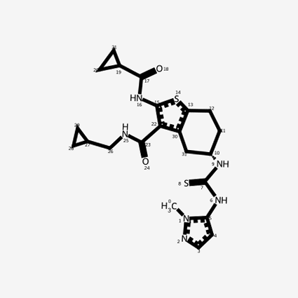 Cn1nccc1NC(=S)N[C@H]1CCc2sc(NC(=O)C3CC3)c(C(=O)NCC3CC3)c2C1